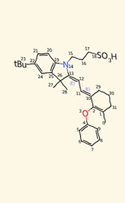 CC1=C(Oc2ccccc2)/C(=C/C=C2/N(CCCS(=O)(=O)O)c3ccc(C(C)(C)C)cc3C2(C)C)CCC1